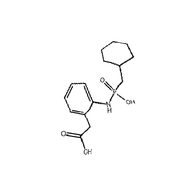 O=C(O)Cc1ccccc1NP(=O)(O)CC1CCCCC1